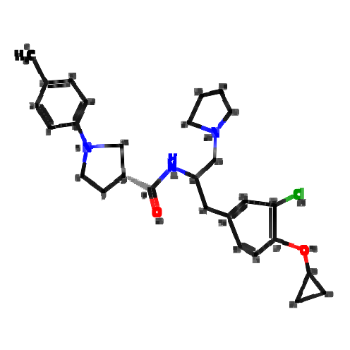 Cc1ccc(N2CC[C@@H](C(=O)NC(Cc3ccc(OC4CC4)c(Cl)c3)CN3CCCC3)C2)cc1